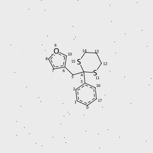 c1ccc(C2(Cc3ccoc3)SCCCS2)cc1